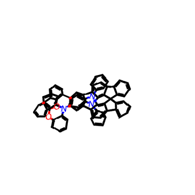 c1ccc(-n2c3ccc(-c4cccc5c4oc4ccccc45)cc3c3ccc4c(c32)C2(c3ccccc3-4)c3ccccc3-c3ccc4c5cc(N6c7ccccc7Oc7ccccc76)ccc5n(-c5ccccc5)c4c32)cc1